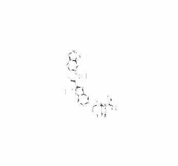 CC(C)CC(=NNC(=N)N)c1ccc2[nH]c(C(=O)Nc3ccc4cc[nH]c4c3)cc2c1